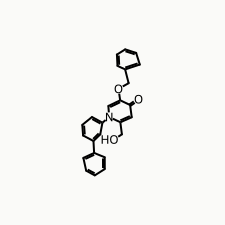 O=c1cc(CO)n(-c2cccc(-c3ccccc3)c2)cc1OCc1ccccc1